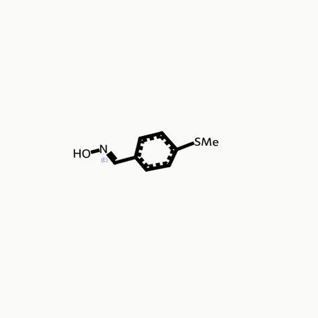 CSc1ccc(/C=N/O)cc1